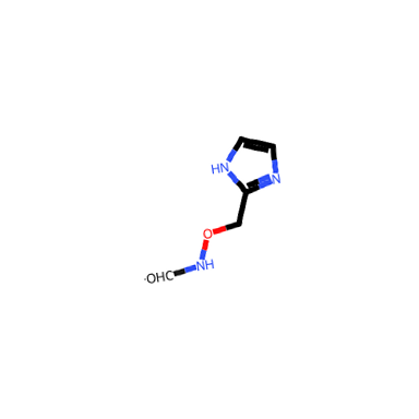 O=[C]NOCc1ncc[nH]1